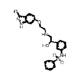 O=S(=O)(Nc1cccc(C(O)CNCCOc2ccc3c(Cl)n[nH]c3c2)c1)c1ccccc1